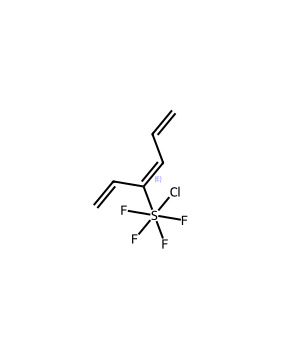 C=C/C=C(\C=C)S(F)(F)(F)(F)Cl